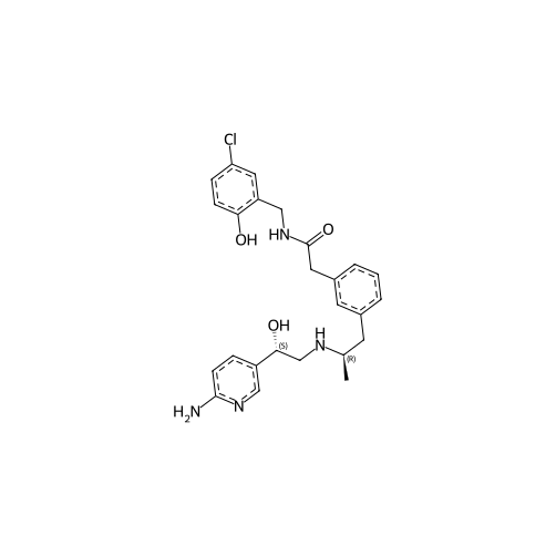 C[C@H](Cc1cccc(CC(=O)NCc2cc(Cl)ccc2O)c1)NC[C@@H](O)c1ccc(N)nc1